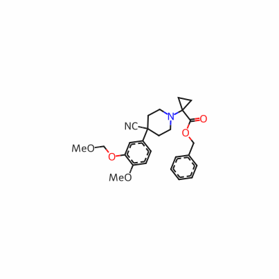 COCOc1cc(C2(C#N)CCN(C3(C(=O)OCc4ccccc4)CC3)CC2)ccc1OC